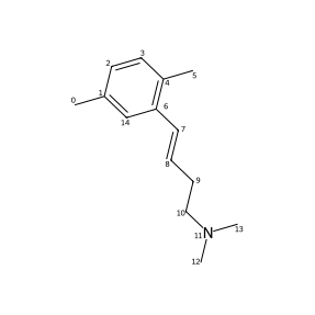 Cc1ccc(C)c(/C=C/CCN(C)C)c1